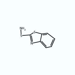 NSc1nc2ccccc2s1